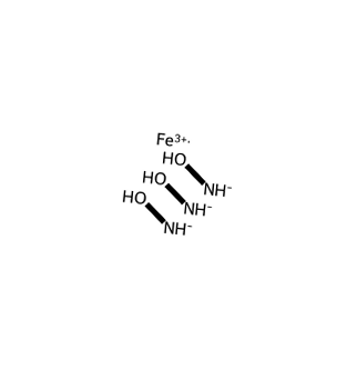 [Fe+3].[NH-]O.[NH-]O.[NH-]O